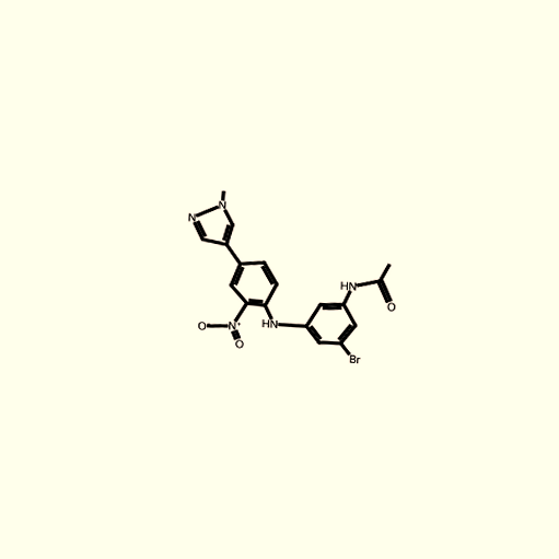 CC(=O)Nc1cc(Br)cc(Nc2ccc(-c3cnn(C)c3)cc2[N+](=O)[O-])c1